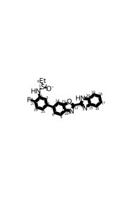 CC[S+]([O-])Nc1cc(-c2ccc3nc(-c4nc5ccccc5[nH]4)oc3c2)ccc1F